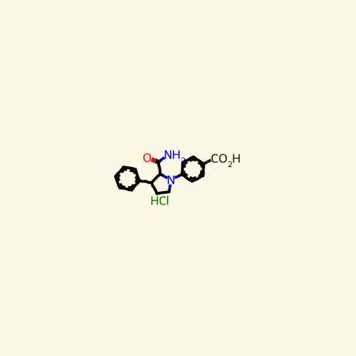 Cl.NC(=O)C1C(c2ccccc2)CCN1c1ccc(C(=O)O)cc1